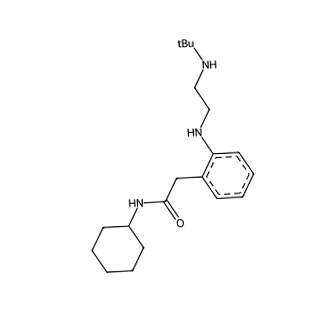 CC(C)(C)NCCNc1ccccc1CC(=O)NC1CCCCC1